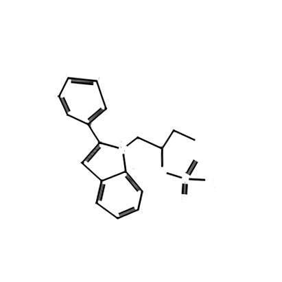 CCC(Cn1c(-c2ccccc2)cc2ccccc21)OS(=O)(=O)O